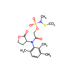 Cc1ccc(C)c(N(C(=O)COS(=O)(=O)N(C)SC(Cl)(Cl)Cl)C2CCOC2=O)c1C